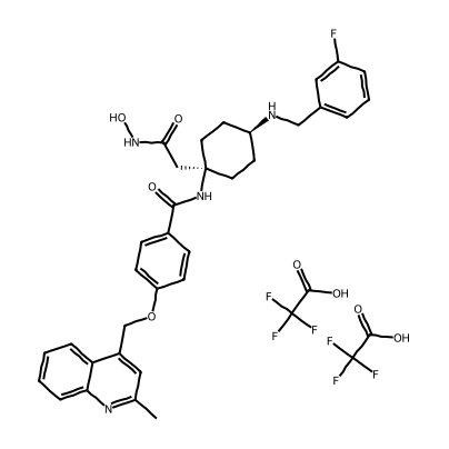 Cc1cc(COc2ccc(C(=O)N[C@]3(CC(=O)NO)CC[C@H](NCc4cccc(F)c4)CC3)cc2)c2ccccc2n1.O=C(O)C(F)(F)F.O=C(O)C(F)(F)F